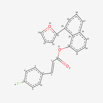 O=C(C=Cc1ccc(F)cc1)Oc1cccc2cccc(-c3ccco3)c12